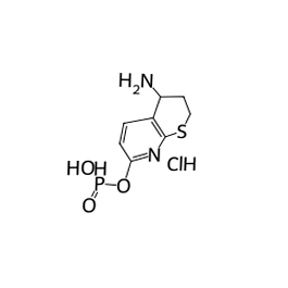 Cl.NC1CCSc2nc(O[PH](=O)O)ccc21